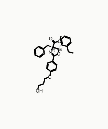 CCc1ccccc1[C@@H]1OC(c2ccc(OCCCO)cc2)=N[C@]1(Cc1ccccc1)C(=O)OC